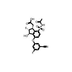 CC(=O)NS(=O)(=O)c1ccc(Oc2cc(F)cc(C#N)c2)c2c1[C@H](CC(=O)O)[C@@H](F)[C@@H]2O